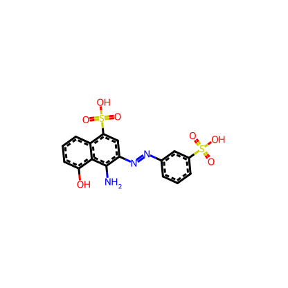 Nc1c(N=Nc2cccc(S(=O)(=O)O)c2)cc(S(=O)(=O)O)c2cccc(O)c12